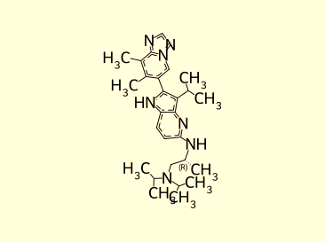 Cc1c(-c2[nH]c3ccc(N[C@H](C)CN(C(C)C)C(C)C)nc3c2C(C)C)cn2ncnc2c1C